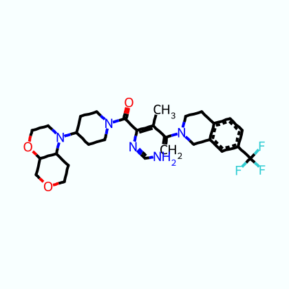 C=C(/C(C)=C(\N=C/N)C(=O)N1CCC(N2CCOC3COCCC32)CC1)N1CCc2ccc(C(F)(F)F)cc2C1